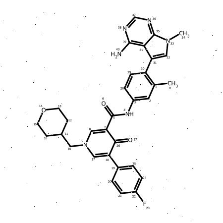 Cc1cc(NC(=O)c2cn(CC3CCOCC3)cc(-c3ccc(F)cc3)c2=O)ccc1-c1cn(C)c2ncnc(N)c12